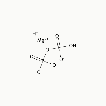 O=P([O-])([O-])OP(=O)([O-])O.[H+].[Mg+2]